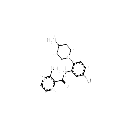 Nc1nccnc1C(=O)Nc1cc(Cl)ccc1N1CCC(N)CC1